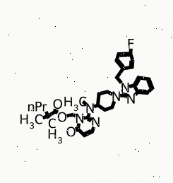 CCCC(C)(C)C(=O)OCn1c(N(C)C2CCN(c3nc4ccccc4n3Cc3ccc(F)cc3)CC2)nccc1=O